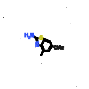 CC(=O)Oc1cc(C)c2nc(N)sc2c1